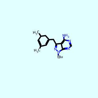 CC1=CC(C)CC(Cc2nn(C(C)(C)C)c3ncnc(N)c23)=C1